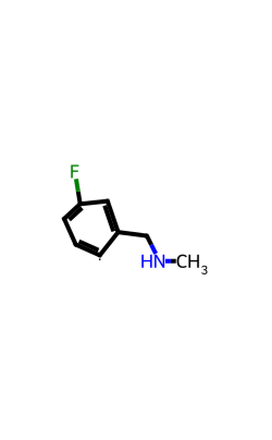 CNCc1[c]ccc(F)c1